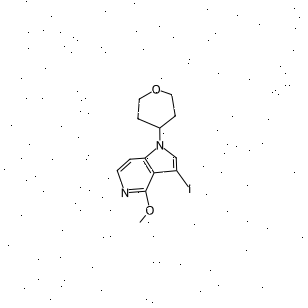 COc1nccc2c1c(I)cn2C1CCOCC1